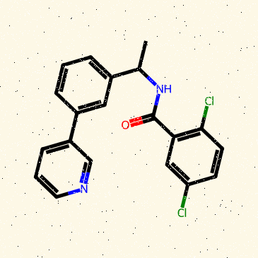 CC(NC(=O)c1cc(Cl)ccc1Cl)c1cccc(-c2cccnc2)c1